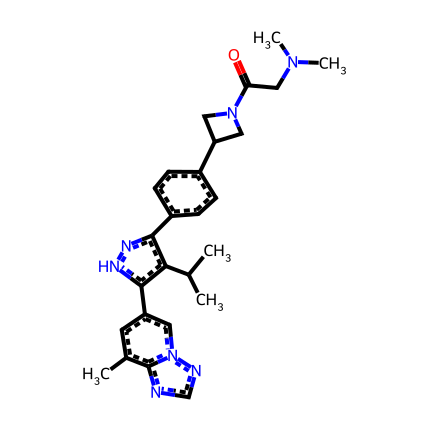 Cc1cc(-c2[nH]nc(-c3ccc(C4CN(C(=O)CN(C)C)C4)cc3)c2C(C)C)cn2ncnc12